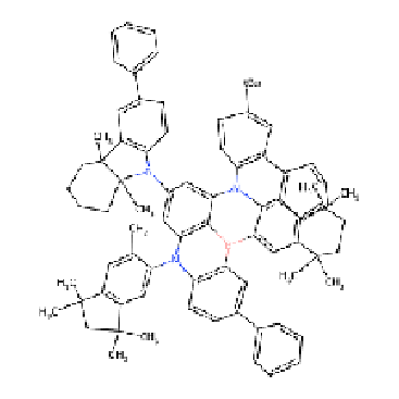 Cc1cc2c(cc1N1c3ccc(-c4ccccc4)cc3B3c4cc5c(cc4N(c4ccc(C(C)(C)C)cc4-c4ccccc4)c4cc(N6c7ccc(-c8ccccc8)cc7C7(C)CCCCC67C)cc1c43)C(C)(C)CCC5(C)C)C(C)(C)CC2(C)C